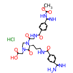 COC(=O)NC(=N)c1ccc(C(=O)NCC(=O)N2CCN(CC(=O)O)C(=O)[C@@H]2CCCNC(=O)c2ccc(C(=N)N)cc2)cc1.Cl